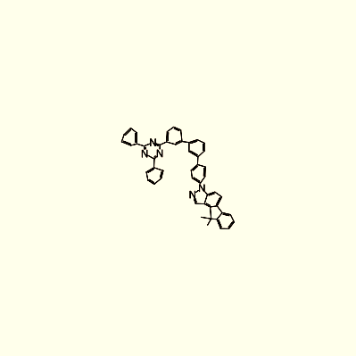 CC1(C)c2ccccc2-c2ccc3c(cnn3-c3ccc(-c4cccc(-c5cccc(-c6nc(-c7ccccc7)nc(-c7ccccc7)n6)c5)c4)cc3)c21